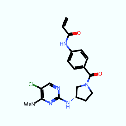 C=CC(=O)Nc1ccc(C(=O)N2CC[C@H](Nc3ncc(Cl)c(NC)n3)C2)cc1